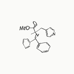 COC(=O)C(C)(Cc1ccncc1)N=C(c1ccccc1)c1ccccc1